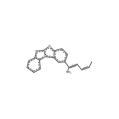 C/C=C\C=C(/N)c1ccc2oc3nc4ccccc4n3c2c1